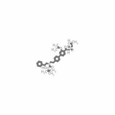 CC(C)CS(=O)(=O)NC(=O)c1ccc(-c2ccc(CCN(C[C@H](O)c3ccccc3)C(=O)OC(C)(C)C)cc2)cc1OC(C)C